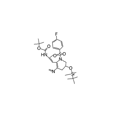 C=NC1=C(/C=C(\C)NC(=O)OC(C)(C)C)N(S(=O)(=O)c2ccc(F)cc2)CC(O[Si](C)(C)C(C)(C)C)C1